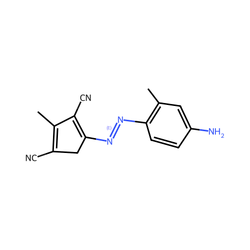 CC1=C(C#N)CC(/N=N/c2ccc(N)cc2C)=C1C#N